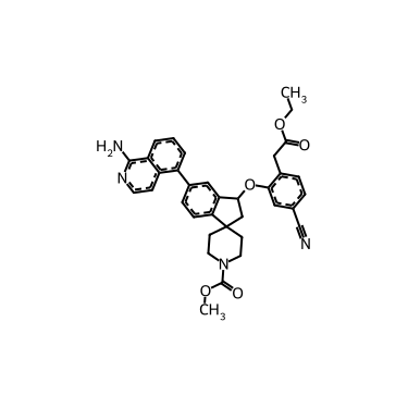 CCOC(=O)Cc1ccc(C#N)cc1OC1CC2(CCN(C(=O)OC)CC2)c2ccc(-c3cccc4c(N)nccc34)cc21